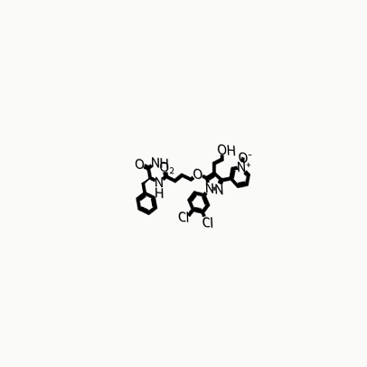 NC(=O)[C@H](Cc1ccccc1)NC(=O)CCCOc1c(CCO)c(-c2ccc[n+]([O-])c2)nn1-c1ccc(Cl)c(Cl)c1